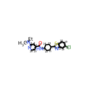 CCN(C)c1cc(C(=O)NC2CCC(c3nc4cc(Cl)ccc4s3)CC2)ccn1